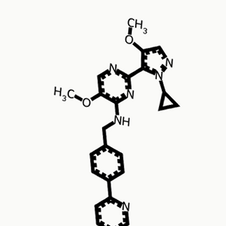 COc1cnc(-c2c(OC)cnn2C2CC2)nc1NCc1ccc(-c2ccccn2)cc1